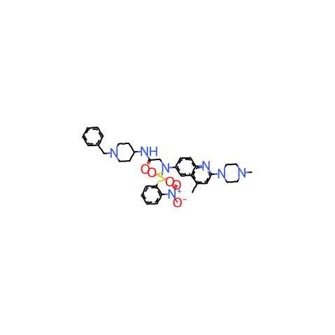 Cc1cc(N2CCN(C)CC2)nc2ccc(N(CC(=O)NC3CCN(Cc4ccccc4)CC3)S(=O)(=O)c3ccccc3[N+](=O)[O-])cc12